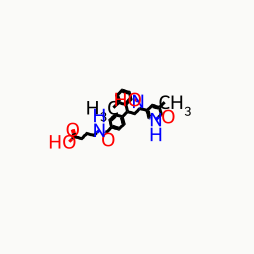 Cc1ccccc1C(C/C(=N\O)c1c[nH]c(=O)c(C)c1)c1ccc(C(=O)NCCCC(=O)O)cc1